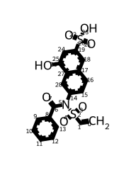 C=CS(=O)(=O)N(C(=O)c1ccccc1)c1ccc2cc(S(=O)(=O)O)cc(O)c2c1